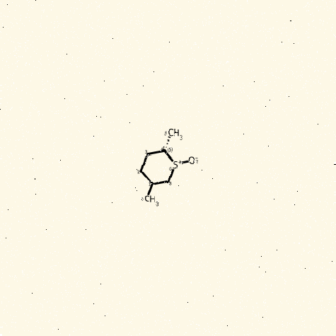 CC1CC[C@H](C)[S+]([O-])C1